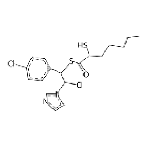 CCCCCC(S)C(=O)SC(c1ccc(Cl)cc1)C(Cl)n1ccnc1